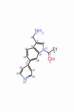 CCC(O)n1cc(CN)c2ccc(-c3ccncc3)cc21